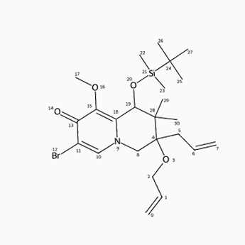 C=CCOC1(CC=C)Cn2cc(Br)c(=O)c(OC)c2C(O[Si](C)(C)C(C)(C)C)C1(C)C